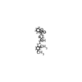 Cc1ccc(CCCNC2CCC(n3c(=O)oc4ccccc43)CC2)c(C)c1